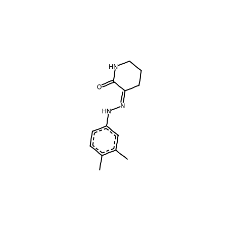 Cc1ccc(NN=C2CCCNC2=O)cc1C